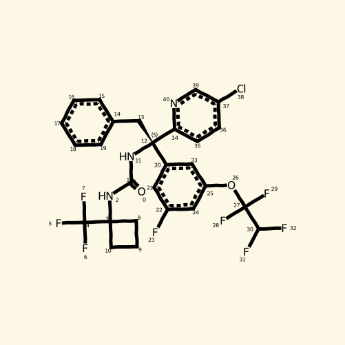 O=C(NC1(C(F)(F)F)CCC1)N[C@@](Cc1ccccc1)(c1cc(F)cc(OC(F)(F)C(F)F)c1)c1ccc(Cl)cn1